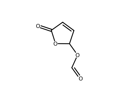 O=COC1C=CC(=O)O1